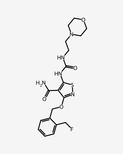 NC(=O)c1c(OCc2ccccc2CF)nsc1NC(=O)NCCN1CCOCC1